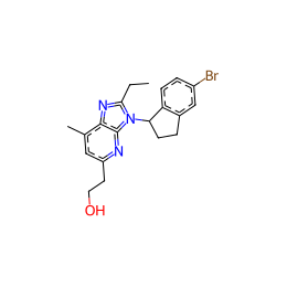 CCc1nc2c(C)cc(CCO)nc2n1C1CCc2cc(Br)ccc21